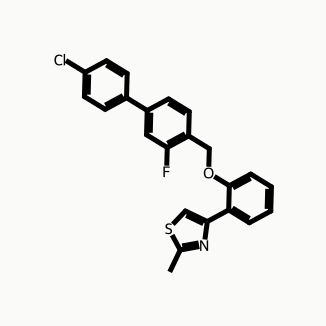 Cc1nc(-c2ccccc2OCc2ccc(-c3ccc(Cl)cc3)cc2F)cs1